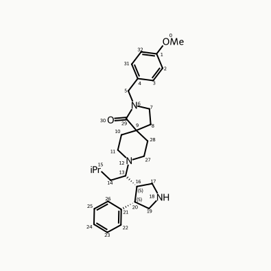 COc1ccc(CN2CCC3(CCN(C(CC(C)C)[C@@H]4CNC[C@@H]4c4ccccc4)CC3)C2=O)cc1